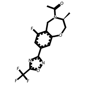 CC(=O)N1Cc2c(F)cc(-c3noc(C(F)(F)F)n3)cc2OC[C@@H]1C